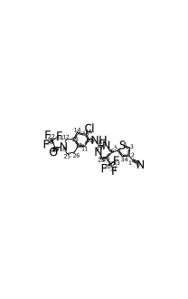 N#Cc1csc(-c2nc(Nc3cc4c(cc3Cl)CN(C(=O)C(F)(F)F)CC4)ncc2C(F)(F)F)c1